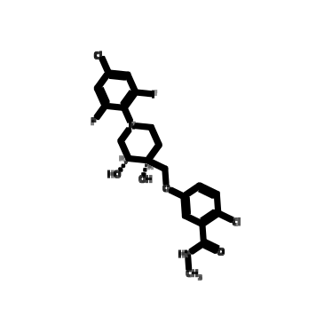 CNC(=O)c1cc(OC[C@]2(O)CCN(c3c(F)cc(Cl)cc3F)C[C@H]2O)ccc1Cl